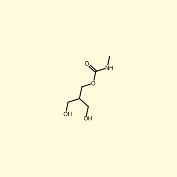 CNC(=O)OCC(CO)CO